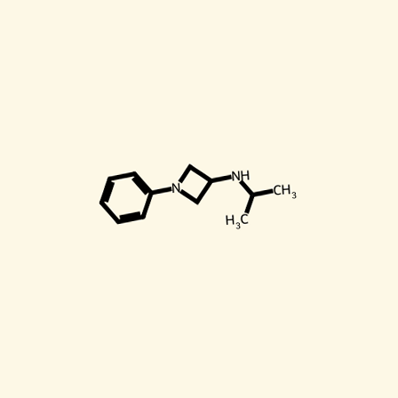 CC(C)NC1CN(c2ccccc2)C1